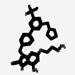 COCCOc1nc(N)c2[nH]c(=O)n(Cc3ccc(-c4cc(CN5CCCC5)cc(C(F)(F)F)c4)cc3)c2n1